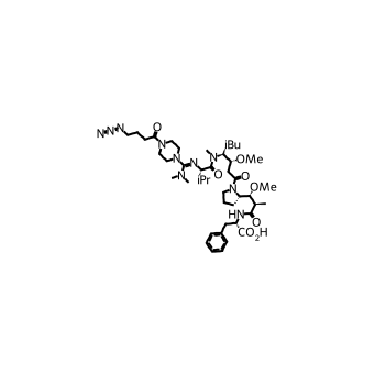 CC[C@H](C)[C@@H]([C@@H](CC(=O)N1CCC[C@H]1[C@H](OC)[C@@H](C)C(=O)N[C@@H](Cc1ccccc1)C(=O)O)OC)N(C)C(=O)[C@@H](N=C(N(C)C)N1CCN(C(=O)CCCN=[N+]=[N-])CC1)C(C)C